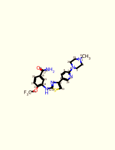 CN1CCN(c2ccc(-c3csc(Nc4cc(C(N)=O)ccc4OC(F)(F)F)n3)cn2)CC1